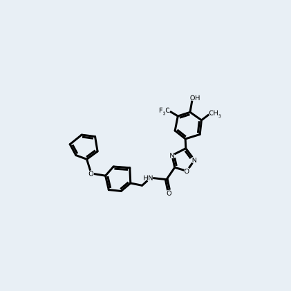 Cc1cc(-c2noc(C(=O)NCc3ccc(Oc4ccccc4)cc3)n2)cc(C(F)(F)F)c1O